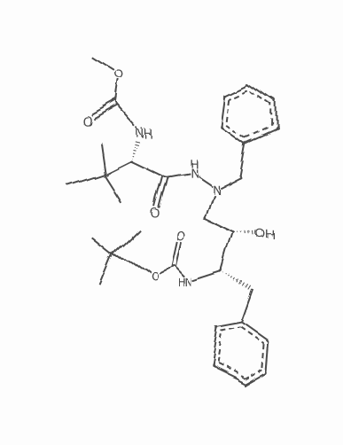 COC(=O)N[C@H](C(=O)NN(Cc1ccccc1)C[C@H](O)[C@H](Cc1ccccc1)NC(=O)OC(C)(C)C)C(C)(C)C